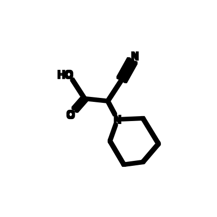 N#CC(C(=O)O)N1CCCCC1